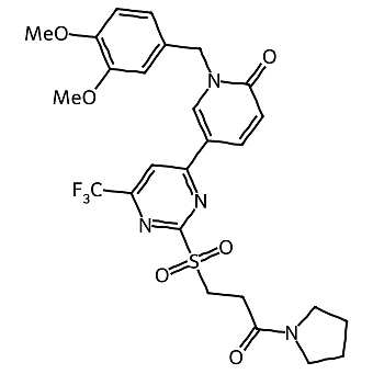 COc1ccc(Cn2cc(-c3cc(C(F)(F)F)nc(S(=O)(=O)CCC(=O)N4CCCC4)n3)ccc2=O)cc1OC